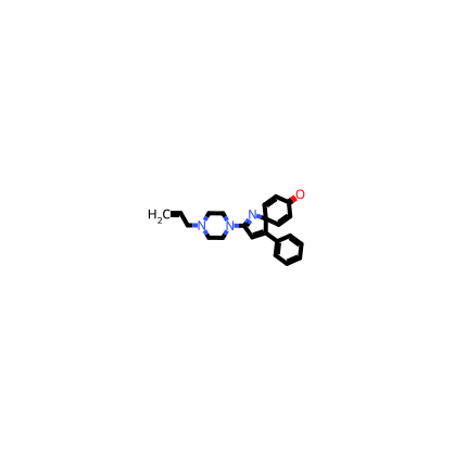 C=CCN1CCN(C2=NC3(C=CC(=O)C=C3)C(c3ccccc3)=C2)CC1